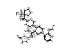 CCOc1ncccc1-c1ccc(N2CCN(C(=O)C3(C(F)(F)F)CCCC3)C[C@H]2CC)c(C(=O)N[C@H]2CCN(C)C2)n1